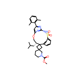 COC(=O)N1CCCC2(C1)CC1(C2)c2cccc(c2)S(=O)(=O)Nc2nc(cc(-c3c(C)cccc3C)n2)OC[C@H]1CC(C)C